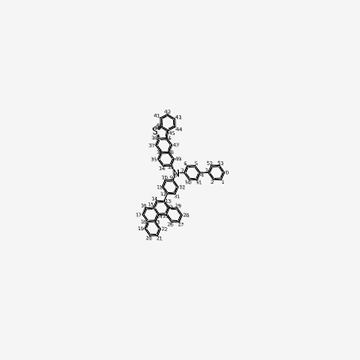 c1ccc(-c2ccc(N(c3ccc(-c4cc5ccc6ccccc6c5c5ccccc45)cc3)c3ccc4cc5sc6ccccc6c5cc4c3)cc2)cc1